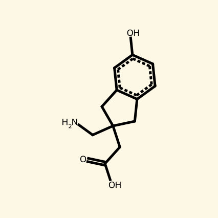 NCC1(CC(=O)O)Cc2ccc(O)cc2C1